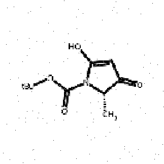 C[C@H]1C(=O)C=C(O)N1C(=O)OC(C)(C)C